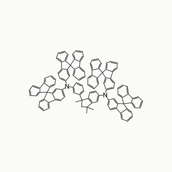 CC1(C)CC(C)(c2cccc(N(c3ccc4c(c3)C3(c5ccccc5-c5ccccc53)c3ccccc3-4)c3ccc4c(c3)C3(c5ccccc5-c5ccccc53)c3ccccc3-4)c2)c2ccc(N(c3ccc4c(c3)C3(c5ccccc5-c5ccccc53)c3ccccc3-4)c3ccc4c(c3)C3(c5ccccc5-c5ccccc53)c3ccccc3-4)cc21